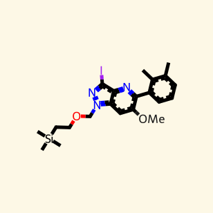 COc1cc2c(nc1-c1cccc(C)c1C)c(I)nn2COCC[Si](C)(C)C